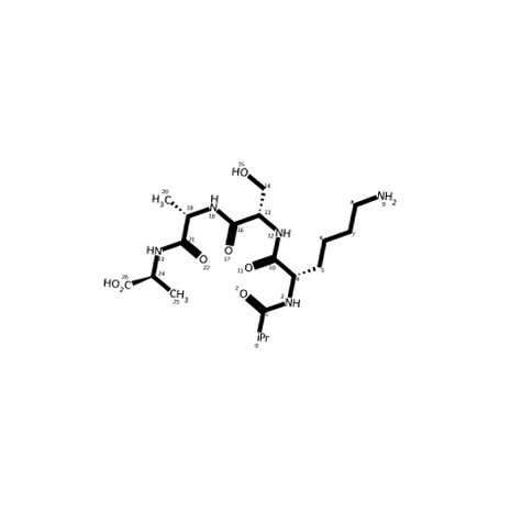 CC(C)C(=O)N[C@@H](CCCCN)C(=O)N[C@@H](CO)C(=O)N[C@@H](C)C(=O)N[C@@H](C)C(=O)O